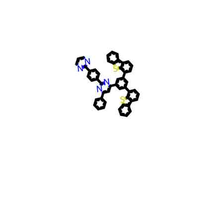 c1ccc(-c2cc(-c3cc(-c4cccc5c4sc4ccccc45)cc(-c4cccc5c4sc4ccccc45)c3)nc(-c3ccc(-c4ncccn4)cc3)n2)cc1